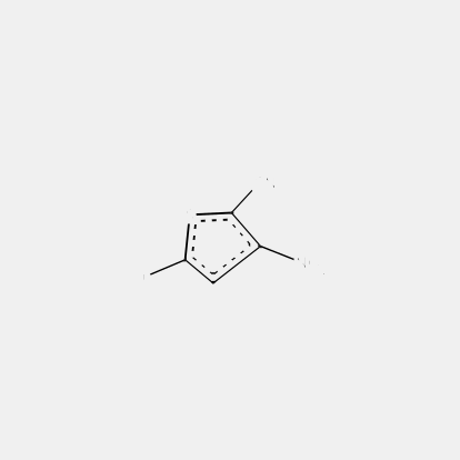 CCc1cc([N+](=O)[O-])c(C#N)s1